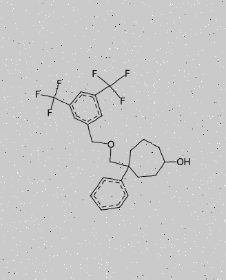 OC1CCCC(COCc2cc(C(F)(F)F)cc(C(F)(F)F)c2)(c2ccccc2)CC1